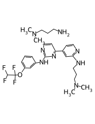 CN(C)CCCN.CN(C)CCCNc1cc(-c2ccnc(Nc3cccc(OC(F)(F)C(F)F)c3)n2)ccn1